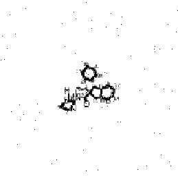 CC[C@]1(C(=O)Nc2nccs2)Cc2ccccc2[C@H]1c1ccccc1